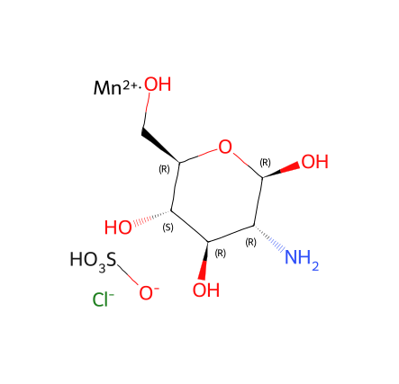 N[C@@H]1[C@@H](O)[C@H](O)[C@@H](CO)O[C@H]1O.O=S(=O)([O-])O.[Cl-].[Mn+2]